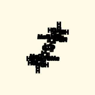 COc1cc(C2OCC3C(c4cc(OC)c(O[C@H]5O[C@H](CO)[C@@H](O)[C@H](O)[C@H]5O)c(OC)c4)OCC23)cc(OC)c1O[C@H]1O[C@H](CO)[C@@H](O)[C@H](O)[C@H]1O